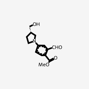 COC(=O)c1ccc(N2CC[C@H](CO)C2)cc1C=O